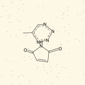 Cc1cnnnn1.O=C1C=CC(=O)N1